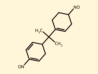 CC(C)(C1=CCC(N=O)CC1)C1C=CC(N=O)=CC1